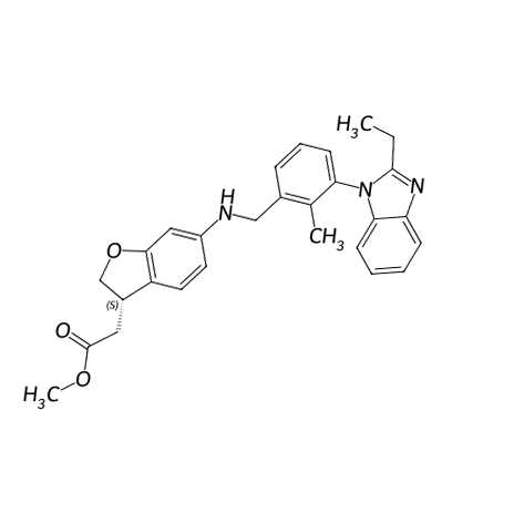 CCc1nc2ccccc2n1-c1cccc(CNc2ccc3c(c2)OC[C@H]3CC(=O)OC)c1C